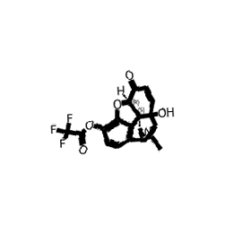 CN1CC[C@]23c4c5ccc(OC(=O)C(F)(F)F)c4O[C@H]2C(=O)C=CC3(O)C1C5